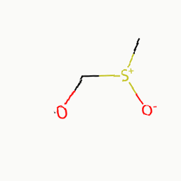 C[S+]([O-])C[O]